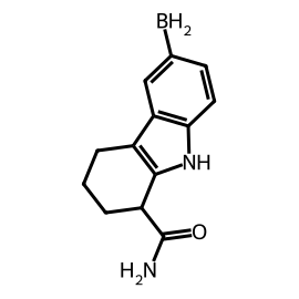 Bc1ccc2[nH]c3c(c2c1)CCCC3C(N)=O